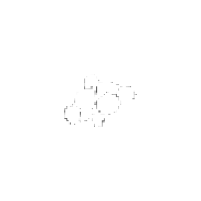 C1=C2Cc3cccc4c3C[C@@]35Cc6c(cccc6CC6CCC(C4)N63)CC(C1)N25